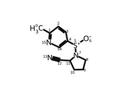 Cc1ccc([S+]([O-])N2CCCC2C#N)cn1